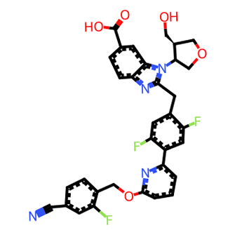 N#Cc1ccc(COc2cccc(-c3cc(F)c(Cc4nc5ccc(C(=O)O)cc5n4C4COC[C@@H]4CO)cc3F)n2)c(F)c1